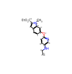 CCOC(=O)c1cc2ccc(Oc3ccc(NCC(C)=O)cn3)cc2n1C